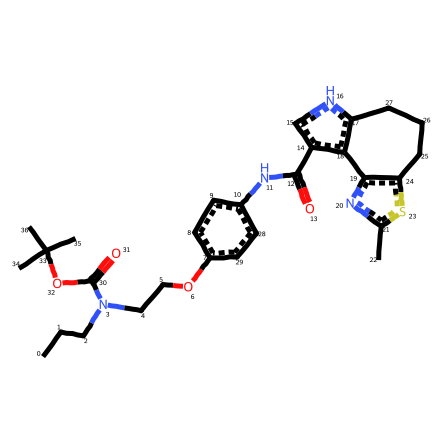 CCCN(CCOc1ccc(NC(=O)c2c[nH]c3c2-c2nc(C)sc2CCC3)cc1)C(=O)OC(C)(C)C